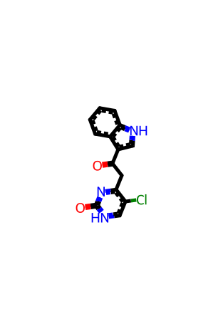 O=C(Cc1nc(=O)[nH]cc1Cl)c1c[nH]c2ccccc12